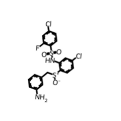 Nc1cccc(C[S+]([O-])c2ccc(Cl)cc2NS(=O)(=O)c2ccc(Cl)cc2F)c1